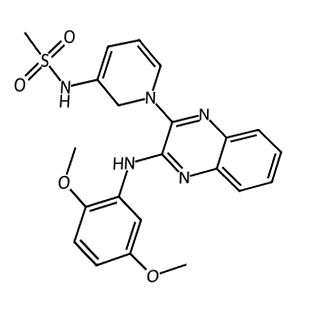 COc1ccc(OC)c(Nc2nc3ccccc3nc2N2C=CC=C(NS(C)(=O)=O)C2)c1